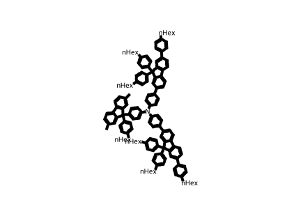 CCCCCCc1ccc(-c2ccc3c(c2)C(c2ccc(CCCCCC)cc2)(c2ccc(CCCCCC)cc2)c2cc(-c4ccc(N(c5ccc(-c6ccc7c(c6)C(c6ccc(CCCCCC)cc6)(c6ccc(CCCCCC)cc6)c6cc(-c8ccc(CCCCCC)cc8)ccc6-7)cc5)c5ccc(C6(c7ccc(CCCCCC)cc7)c7cc(C)ccc7-c7ccc(C)cc76)cc5)cc4)ccc2-3)cc1